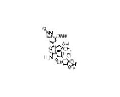 CCOc1c(C(N)=O)cc([C@@](O)(CNC(=O)c2cc(OC)c3nn(C4CC4)cc3c2)C(F)(F)F)nc1-c1ccc2c(c1Cl)OC(F)(F)O2